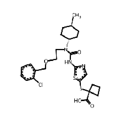 C[C@H]1CC[C@H](N(CCOCc2ccccc2Cl)C(=O)Nc2ncc(SC3(C(=O)O)CCC3)s2)CC1